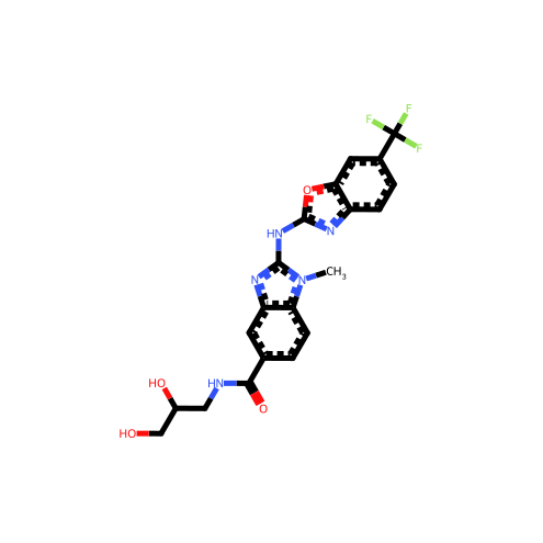 Cn1c(Nc2nc3ccc(C(F)(F)F)cc3o2)nc2cc(C(=O)NCC(O)CO)ccc21